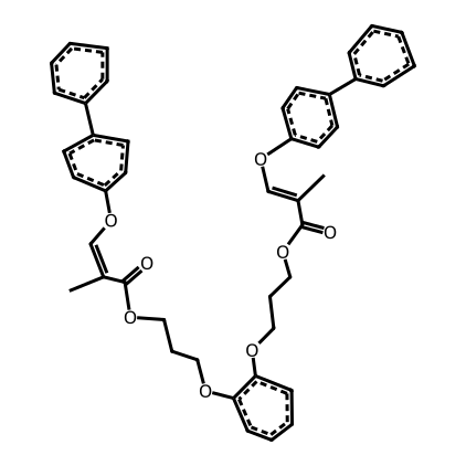 CC(=COc1ccc(-c2ccccc2)cc1)C(=O)OCCCOc1ccccc1OCCCOC(=O)C(C)=COc1ccc(-c2ccccc2)cc1